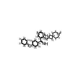 CN1CCC2(CC1)CC(Nc1ncncc1C(=N)c1ccc(Oc3ccccc3)cc1)C2